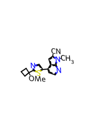 COC1(c2ncc(-c3ccnc4c3cc(C#N)n4C)s2)CCC1